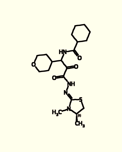 C[C@@H]1CSC(=NNC(=O)C(=O)C(NC(=O)C2CCCCC2)C2CCOCC2)N1C